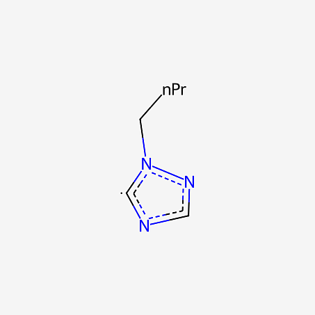 CCCCn1[c]ncn1